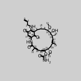 C=CCNC1=C2C[C@H](C)C[C@H](OC)[C@H](O)[C@@H](C)C=C(C)C[C@H](OC)C(OC(N)=O)=CC=C(C)C(=O)NC(=CC1=O)C2=O